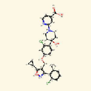 Cc1cccc(Cl)c1-c1noc(C2CC2)c1COc1ccc(C2(O)CCN(c3cc(C(=O)O)ccn3)CC2)c(Cl)c1